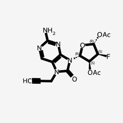 C#CCn1c(=O)n([C@@H]2O[C@H](OC(C)=O)[C@@H](F)[C@H]2OC(C)=O)c2nc(N)ncc21